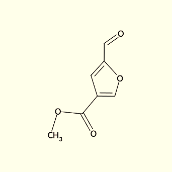 COC(=O)c1coc(C=O)c1